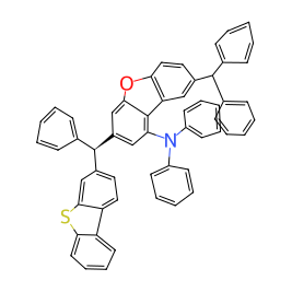 c1ccc(C(c2ccccc2)c2ccc3oc4cc([C@H](c5ccccc5)c5ccc6c(c5)sc5ccccc56)cc(N(c5ccccc5)c5ccccc5)c4c3c2)cc1